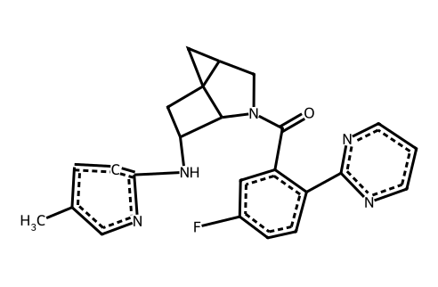 Cc1ccc(NC2CC34CC3CN(C(=O)c3cc(F)ccc3-c3ncccn3)C24)nc1